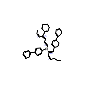 C\C=C/C(=C\C=C\N(C(/C=C\CCC)=C\C1=CC=C(C2=CC=CCC2)CC1)c1ccc(-c2ccccc2)cc1)C1=CCCC=C1